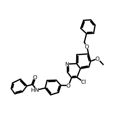 COc1cc2c(Cl)c(Oc3ccc(NC(=O)c4ccccc4)cc3)cnc2cc1OCc1ccccc1